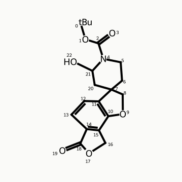 CC(C)(C)OC(=O)N1CCC2(COc3c2ccc2c3COC2=O)CC1O